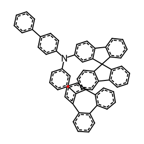 c1ccc(-c2ccc(N(c3cccc(-c4c5cccc4-c4ccccc4-c4ccccc4-5)c3)c3ccc4c(c3)C3(c5ccccc5-c5ccccc53)c3ccccc3-4)cc2)cc1